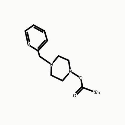 CC(C)(C)C(=O)ON1CCN(Cc2ccccn2)CC1